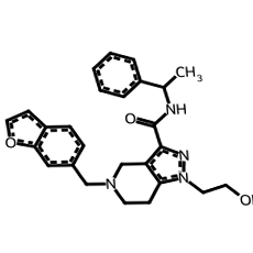 CC(NC(=O)c1nn(CCO)c2c1CN(Cc1ccc3ccoc3c1)CC2)c1ccccc1